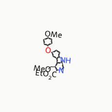 CCOC(=O)c1ncc2[nH]c3ccc(Oc4ccc(OC)cc4)cc3c2c1COC